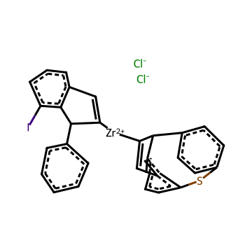 Ic1cccc2c1C(c1ccccc1)[C]([Zr+2][C]1=Cc3c4cccc3C1c1ccc(cc1)S4)=C2.[Cl-].[Cl-]